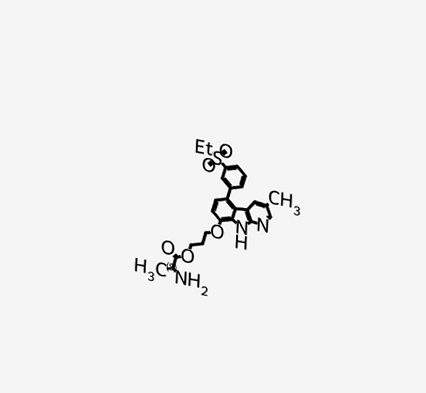 CCS(=O)(=O)c1cccc(-c2ccc(OCCCOC(=O)[C@H](C)N)c3[nH]c4ncc(C)cc4c23)c1